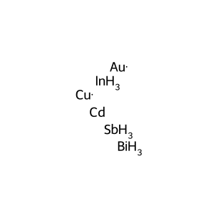 [Au].[BiH3].[Cd].[Cu].[InH3].[SbH3]